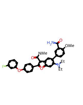 CCN(CC)c1cc2oc(-c3ccc(Oc4cccc(F)c4)cc3)c(C(=O)NC)c2cc1-c1ccc(OC)c(C(N)=O)c1